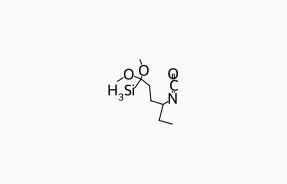 CCC(CCC([SiH3])(OC)OC)N=C=O